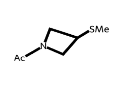 CSC1CN(C(C)=O)C1